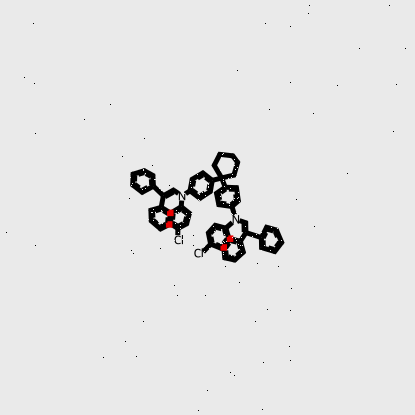 Clc1ccc(N(C=C(c2ccccc2)c2ccccc2)c2ccc(C3(c4ccc(N(C=C(c5ccccc5)c5ccccc5)c5ccc(Cl)cc5)cc4)CCCCC3)cc2)cc1